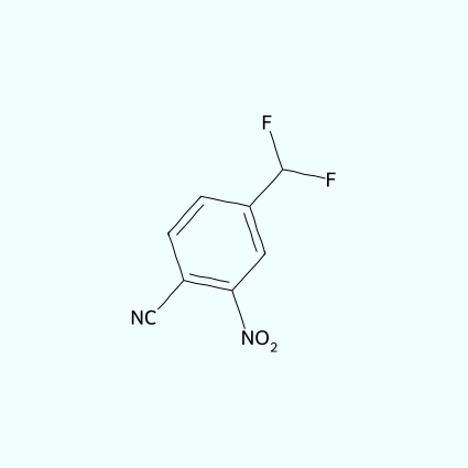 N#Cc1ccc(C(F)F)cc1[N+](=O)[O-]